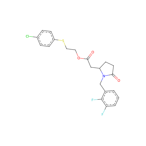 O=C(CC1CCC(=O)N1Cc1cccc(F)c1F)OCCSc1ccc(Cl)cc1